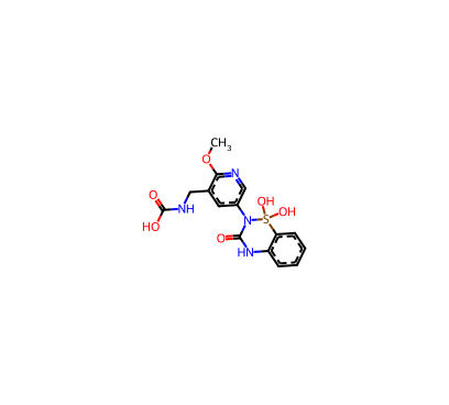 COc1ncc(N2C(=O)Nc3ccccc3S2(O)O)cc1CNC(=O)O